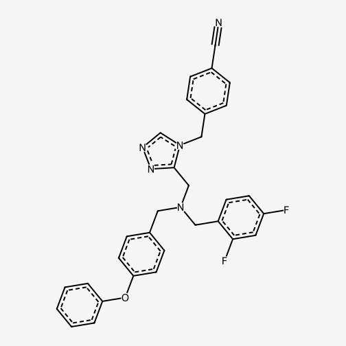 N#Cc1ccc(Cn2cnnc2CN(Cc2ccc(Oc3ccccc3)cc2)Cc2ccc(F)cc2F)cc1